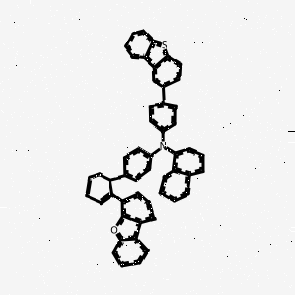 C1=CCC(c2ccc(N(c3ccc(-c4ccc5sc6ccccc6c5c4)cc3)c3cccc4ccccc34)cc2)C(c2cccc3c2oc2ccccc23)=C1